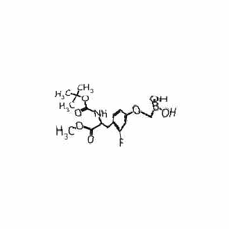 COC(=O)C(Cc1ccc(OCB(O)O)cc1F)NC(=O)OC(C)(C)C